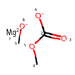 COC(=O)[O-].C[O-].[Mg+2]